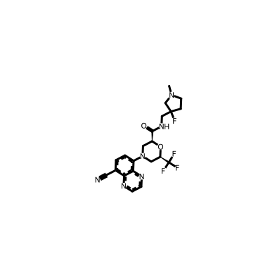 CN1CCC(F)(CNC(=O)[C@@H]2CN(c3ccc(C#N)c4nccnc34)C[C@H](C(F)(F)F)O2)C1